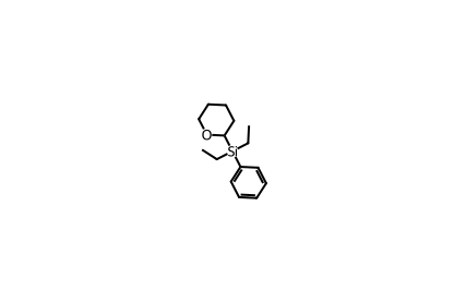 CC[Si](CC)(c1ccccc1)C1CCCCO1